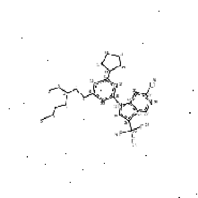 CCCCC(CC)CCc1cc(C2CCCC2)nc(-n2cc(C(F)(F)F)c3cnc(Cl)cc32)c1